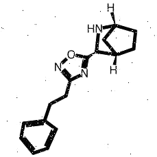 c1ccc(CCc2noc([C@H]3N[C@@H]4CC[C@H]3C4)n2)cc1